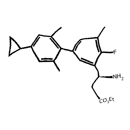 CCOC(=O)C[C@H](N)c1cc(-c2c(C)cc(C3CC3)cc2C)cc(C)c1F